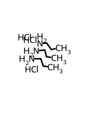 CCCN.CCCN.CCCN.Cl.Cl.Cl